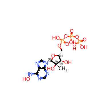 C[C@@]1(O)[C@H](O)[C@@H](COP(=O)(O)OP(=O)(O)OP(=O)(O)O)O[C@H]1n1cnc2c(NO)ncnc21